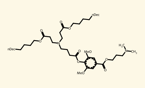 CCCCCCCCCCCCCCOC(=O)CCN(CCCC(=O)Oc1c(OC)cc(C(=O)OCCCN(C)C)cc1OC)CCC(=O)OCCCCCCCCCCCCCC